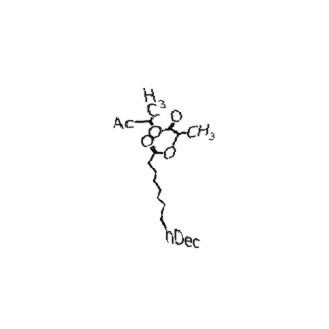 CCCCCCCCCCCCCCCCCC(=O)OC(C)C(=O)OC(C)C(C)=O